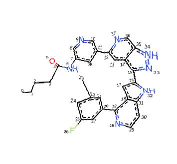 CCCCC(=O)Nc1cncc(-c2cc3c(-c4cc5c(-c6cc(C)cc(F)c6)nccc5[nH]4)n[nH]c3cn2)c1